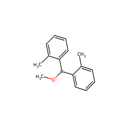 COB(c1ccccc1C)c1ccccc1C